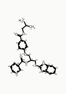 CC(C)COC(=O)c1ccc(OCC(CSc2nc3ccccc3o2)OC(=O)c2cccnc2)cc1